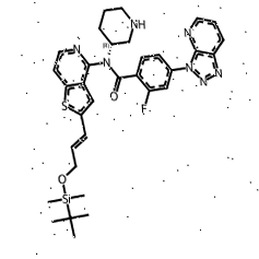 CC(C)(C)[Si](C)(C)OCC=Cc1cc2c(N(C(=O)c3ccc(-n4nnc5cccnc54)cc3F)[C@@H]3CCCNC3)nccc2s1